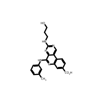 Cc1cccc(Nc2nc3cc(C(=O)O)ccc3c3cnc(NCCCO)nc23)c1